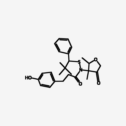 CC1OCC(=O)C1(C)N(SC(c1ccccc1)C(C)(C)C)C(=O)CCc1ccc(O)cc1